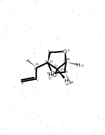 C=C[C@H](C)[C@@]12CO[C@@H]([C@H](C)O1)[C@@H]2O